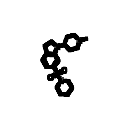 CN1CCC(N2CCc3ccc(S(=O)(=O)N4CCCCC4)cc32)CC1